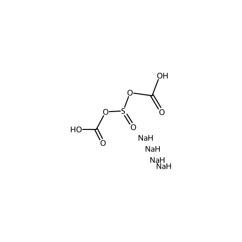 O=C(O)OS(=O)OC(=O)O.[NaH].[NaH].[NaH].[NaH]